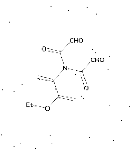 C=C(OCC)C(=C)N(C(=O)C=O)C(=O)C=O